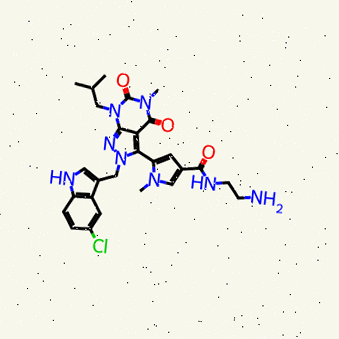 CC(C)Cn1c(=O)n(C)c(=O)c2c(-c3cc(C(=O)NCCN)cn3C)n(Cc3c[nH]c4ccc(Cl)cc34)nc21